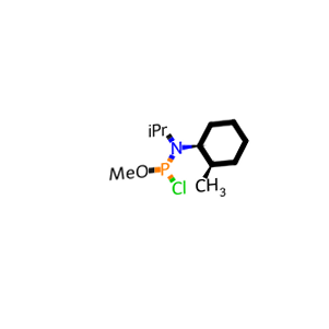 COP(Cl)N(C(C)C)[C@H]1CCCC[C@H]1C